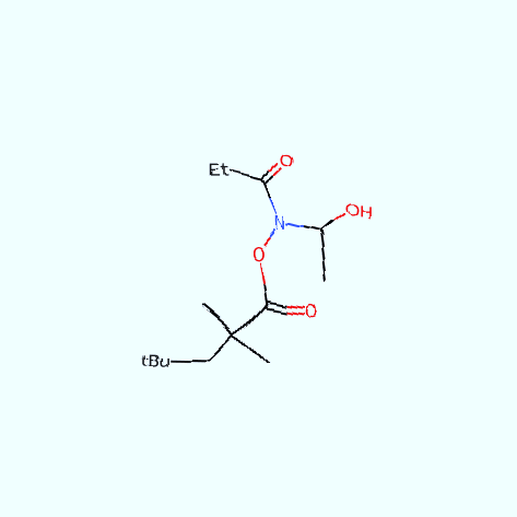 CCC(=O)N(OC(=O)C(C)(C)CC(C)(C)C)C(C)O